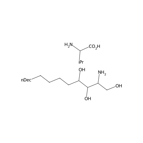 CC(C)C(N)C(=O)O.CCCCCCCCCCCCCCC(O)C(O)C(N)CO